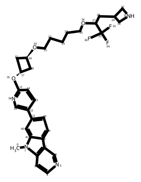 Cn1c2ccncc2c2ccc(-c3ccc(O[C@H]4C[C@H](OCCCCCOC(CC5CNC5)C(F)(F)F)C4)nc3)cc21